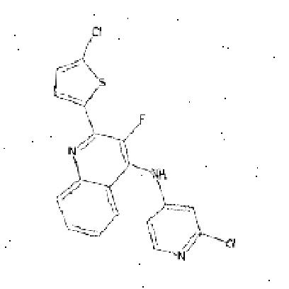 Fc1c(-c2ccc(Cl)s2)nc2ccccc2c1Nc1ccnc(Cl)c1